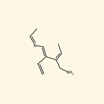 C=CC(=C\N=C/C)/C(=C\C)CN